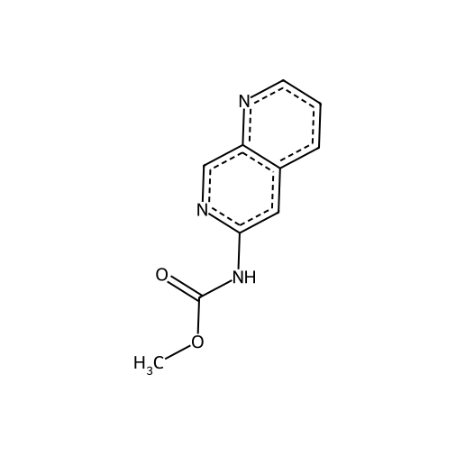 COC(=O)Nc1cc2cccnc2cn1